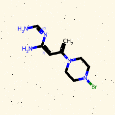 C=C(/C=C(N)\N=C/N)N1CCN(Br)CC1